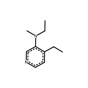 CCc1ccncc1N(C)CC